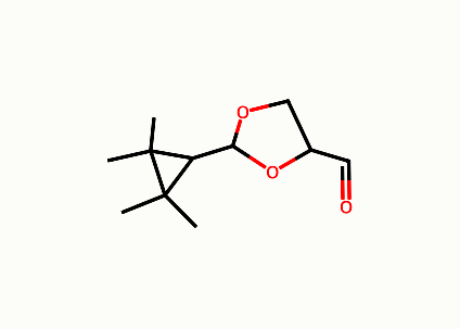 CC1(C)C(C2OCC(C=O)O2)C1(C)C